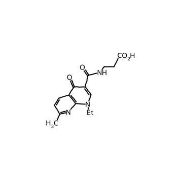 CCn1cc(C(=O)NCCC(=O)O)c(=O)c2ccc(C)nc21